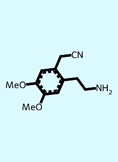 COc1cc(CC#N)c(CCN)cc1OC